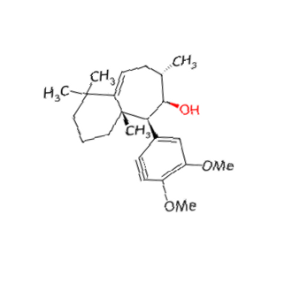 COc1c#cc([C@@H]2[C@H](O)[C@@H](C)CC=C3C(C)(C)CCC[C@]32C)cc1OC